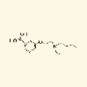 CCCCN(CC)CCOc1cccc(B(O)O)c1